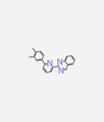 Cc1ccc(-c2cccc(-c3ncc4ccccc4n3)n2)cc1C